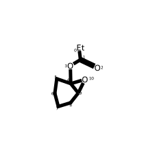 CCC(=O)OC12CCCCC1O2